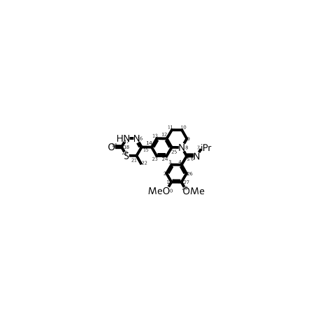 COc1ccc(/C(=N/C(C)C)N2CCCc3cc(C4=NNC(=O)SC4C)ccc32)cc1OC